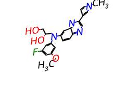 COc1cc(F)cc(N(C[C@H](O)CO)c2ccc3ncc(-c4ccn(C)c4)nc3c2)c1